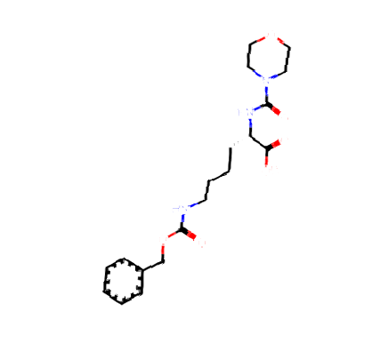 O=C(NCCCC[C@H](NC(=O)N1CCOCC1)C(=O)O)OCc1ccccc1